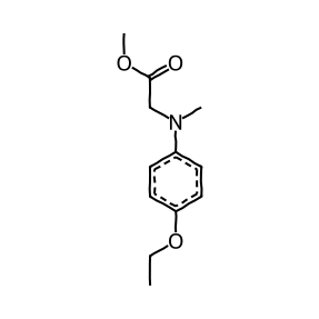 CCOc1ccc(N(C)CC(=O)OC)cc1